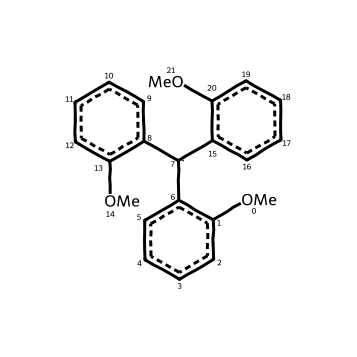 COc1ccccc1[C](c1ccccc1OC)c1ccccc1OC